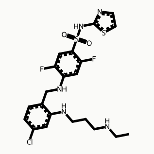 CCNCCCNc1cc(Cl)ccc1CNc1cc(F)c(S(=O)(=O)Nc2nccs2)cc1F